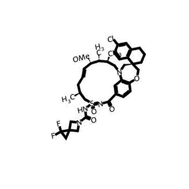 CO[C@H]1/C=C/C[C@H](C)CS(=O)(NC(=O)N2CC3(C2)CC3(F)F)=NC(=O)c2ccc3c(c2)N(C[C@H](C)[C@H]1C)C[C@@]1(CCCc2cc(Cl)ccc21)CO3